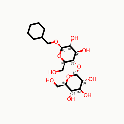 OC[C@H]1O[C@H](O[C@H]2[C@H](O)[C@@H](O)[C@H](OCC3CCCCC3)O[C@@H]2CO)[C@H](O)[C@@H](O)[C@@H]1O